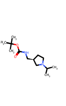 CC(C)N1CC[C@H](CNC(=O)OC(C)(C)C)C1